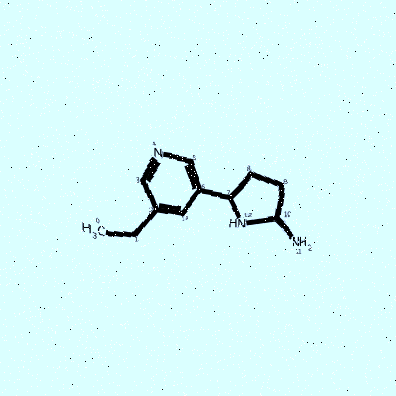 CCc1cncc(C2CCC(N)N2)c1